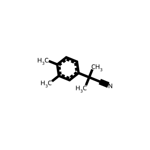 Cc1ccc(C(C)(C)C#N)cc1C